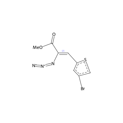 COC(=O)/C(=C/c1cc(Br)cs1)N=[N+]=[N-]